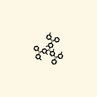 Cc1cccc(N(c2ccccc2)c2ccc(N(c3ccc(N(c4ccccc4)c4cccc(C)c4)cc3C)c3ccc(N(c4ccccc4)c4cccc(C)c4)cc3C)c(C)c2)c1